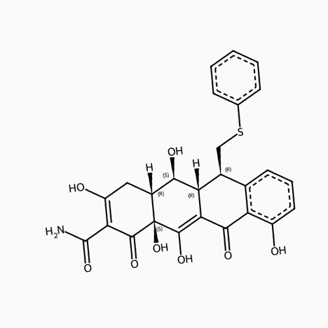 NC(=O)C1=C(O)C[C@@H]2[C@@H](O)[C@H]3C(=C(O)[C@]2(O)C1=O)C(=O)c1c(O)cccc1[C@@H]3CSc1ccccc1